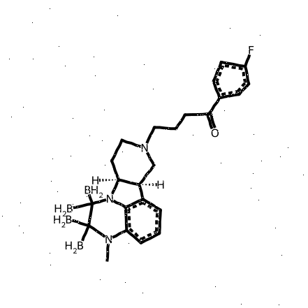 BC1(B)N(C)c2cccc3c2N([C@H]2CCN(CCCC(=O)c4ccc(F)cc4)C[C@@H]32)C1(B)B